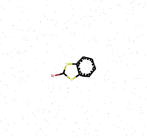 BrC1Sc2ccccc2S1